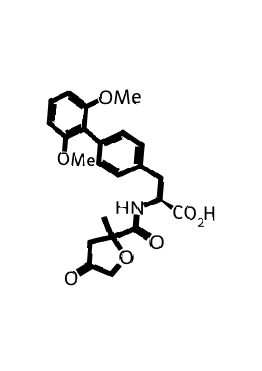 COc1cccc(OC)c1-c1ccc(C[C@H](NC(=O)C2(C)CC(=O)CO2)C(=O)O)cc1